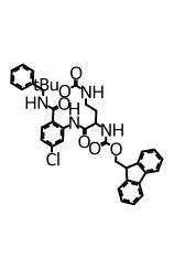 CC(C)(C)OC(=O)NCCC(NC(=O)OCC1c2ccccc2-c2ccccc21)C(=O)Nc1cc(Cl)ccc1C(=O)NCc1ccccc1